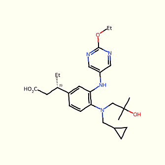 CCOc1ncc(Nc2cc([C@@H](CC)CC(=O)O)ccc2N(CC2CC2)CC(C)(C)O)cn1